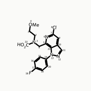 COCCN(Cc1nc(Cl)cc2cnn(-c3ccc(F)cc3)c12)C(=O)O